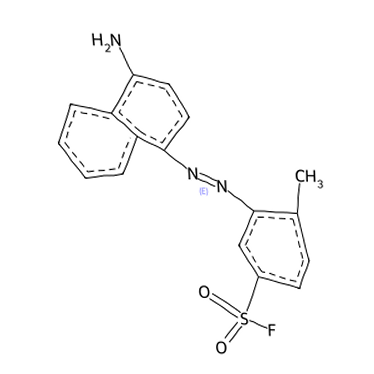 Cc1ccc(S(=O)(=O)F)cc1/N=N/c1ccc(N)c2ccccc12